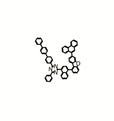 C1=CC(c2ccc(-c3ccccc3)cc2)CC=C1c1nc(-c2ccccc2)nc(-c2ccc(-c3cccc4oc5cc(-c6cc7ccccc7c7ccccc67)ccc5c34)c3ccccc23)n1